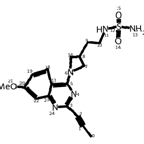 CC#Cc1nc(N2CC(CCNS(N)(=O)=O)C2)c2ccc(OC)cc2n1